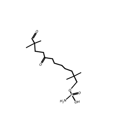 CC(C)(C=O)CCC(=O)CCCCCC(C)(C)COP(N)(=O)O